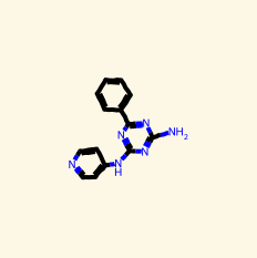 Nc1nc(Nc2ccncc2)nc(-c2ccccc2)n1